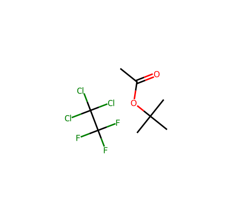 CC(=O)OC(C)(C)C.FC(F)(F)C(Cl)(Cl)Cl